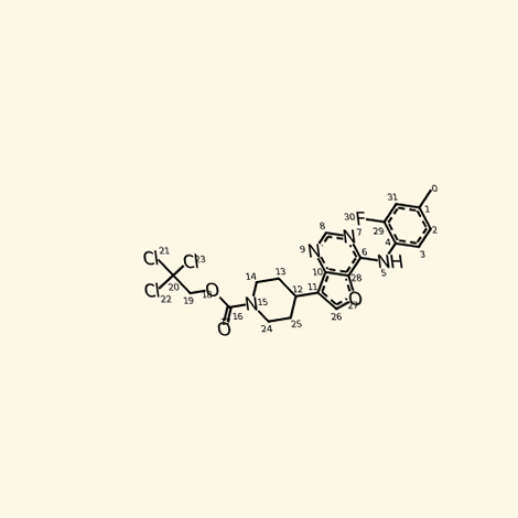 Cc1ccc(Nc2ncnc3c(C4CCN(C(=O)OCC(Cl)(Cl)Cl)CC4)coc23)c(F)c1